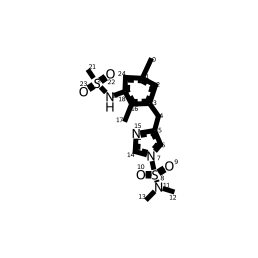 Cc1cc(Cc2cn(S(=O)(=O)N(C)C)cn2)c(C)c(NS(C)(=O)=O)c1